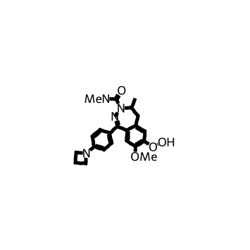 CNC(=O)N1N=C(c2ccc(N3CCC3)cc2)c2cc(OC)c(OO)cc2CC1C